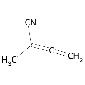 C=C=C(C)C#N